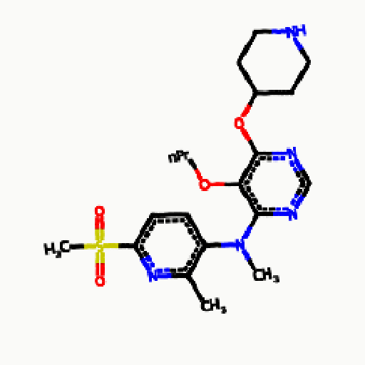 CCCOc1c(OC2CCNCC2)ncnc1N(C)c1ccc(S(C)(=O)=O)nc1C